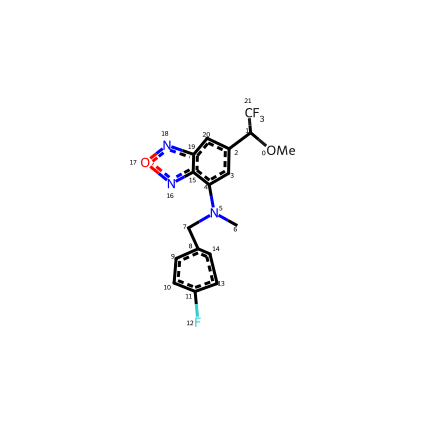 COC(c1cc(N(C)Cc2ccc(F)cc2)c2nonc2c1)C(F)(F)F